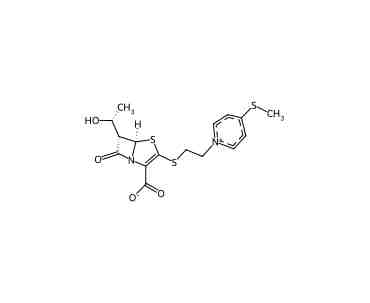 CSc1cc[n+](CCSC2=C(C(=O)[O-])N3C(=O)[C@H]([C@@H](C)O)[C@H]3S2)cc1